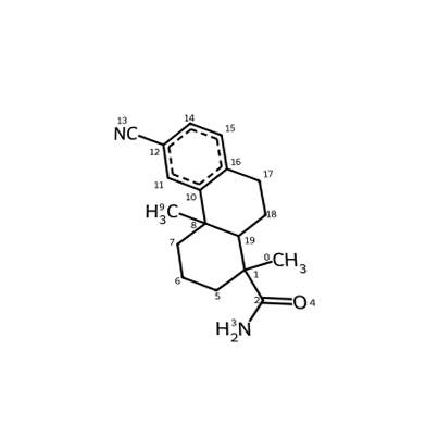 CC1(C(N)=O)CCCC2(C)c3cc(C#N)ccc3CCC12